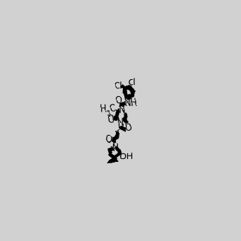 C[C@H]1C(=O)N2C(CN1C(=O)Nc1ccc(Cl)c(Cl)c1)OC[C@@H]2CCC(=O)N1CCC2(CC2)[C@H](O)C1